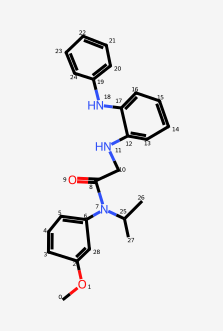 COc1cccc(N(C(=O)CNc2ccccc2Nc2ccccc2)C(C)C)c1